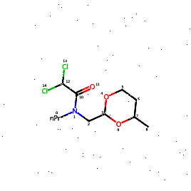 CCCN(CC1OCCC(C)O1)C(=O)C(Cl)Cl